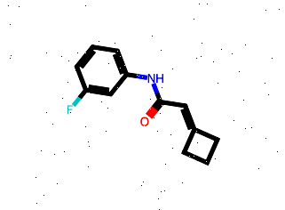 O=C(C=C1CCC1)Nc1cccc(F)c1